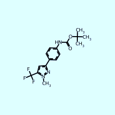 Cn1nc(-c2ccc(NC(=O)OC(C)(C)C)cc2)cc1C(F)(F)F